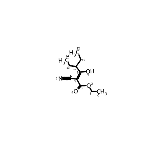 CCOC(=O)C(C#N)=C(O)C(CC)CC